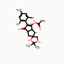 CCc1cc(C)cc(CC)c1C1=C(OC(=O)C(C)(C)C)C2CC3(COC(C)(C)O3)CC2C1=O